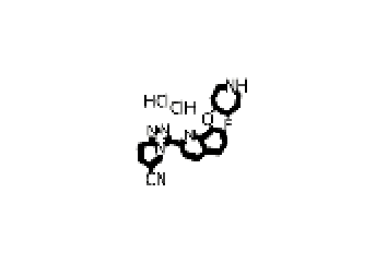 Cl.Cl.N#Cc1ccc2nnc(-c3ccc4cccc(O[C@H]5CCNCC[C@@H]5F)c4n3)n2c1